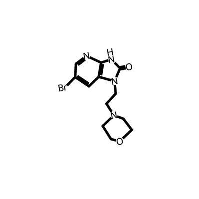 O=c1[nH]c2ncc(Br)cc2n1CCN1CCOCC1